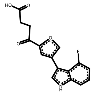 O=C(O)CCC(=O)c1cc(-c2c[nH]c3cccc(F)c23)co1